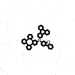 c1ccc2c(c1)-c1ccccc1-c1ccc(N(c3ccc4c(c3)oc3ccccc34)c3ccc4c5ccccc5c5ccccc5c4c3)cc1-c1ccccc1-2